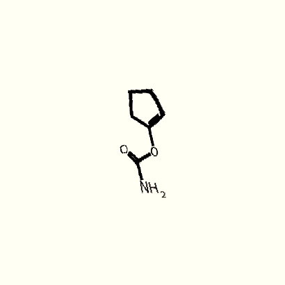 NC(=O)OC1=CCCC1